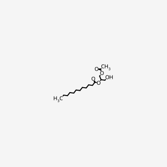 CCCCCCCCCCCC(=O)OC(CO)COC(C)=O